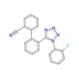 N#Cc1ccccc1-c1ccccc1-c1nnnn1-c1ccccc1F